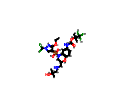 CCOc1nn(C(F)F)cc1S(=O)(=O)N1CC(CNCC(C)(C)O)Oc2ccc(NC(=O)OC(C)(C)C(F)(F)F)cc21